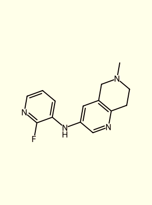 CN1CCc2ncc(Nc3cccnc3F)cc2C1